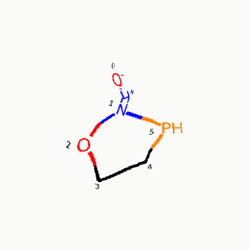 [O-][NH+]1OCCP1